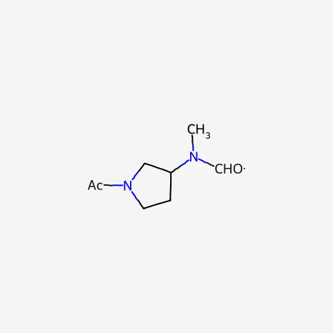 CC(=O)N1CCC(N(C)[C]=O)C1